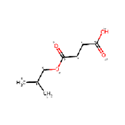 CC(C)COC(=O)CCC(=O)O